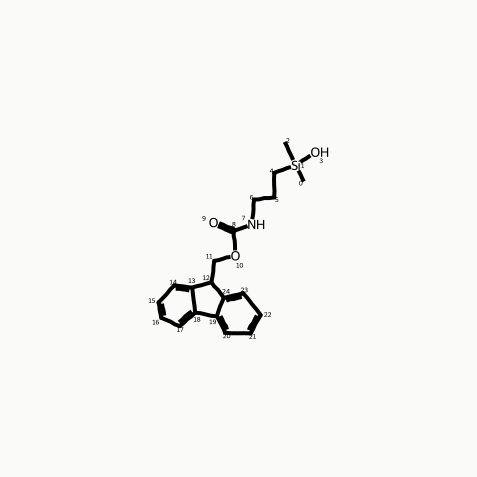 C[Si](C)(O)CCCNC(=O)OCC1c2ccccc2-c2ccccc21